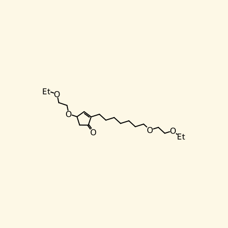 CCOCCOCCCCCCCC1=CC(OCCOCC)CC1=O